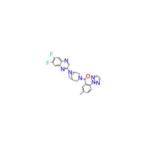 Cc1ccc(-n2nccn2)c(C(=O)N2CC3CC(C2)N(c2cnc4cc(F)c(F)cc4n2)C3)c1